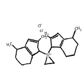 CC1=CC2=C(CCCC2C)[CH]1[Ti+2]1([CH]2C(C)=CC3=C2CCCC3C)[CH2][CH2]1.[Cl-].[Cl-]